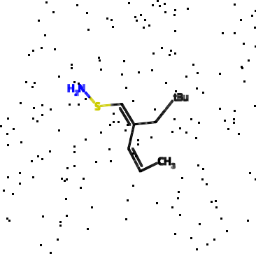 C/C=C\C(=C/SN)CC(C)(C)C